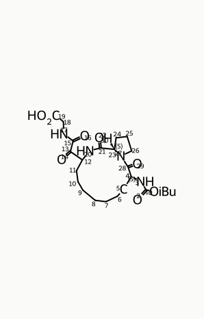 CC(C)COC(=O)N[C@H]1CCCCCCCC(C(=O)C(=O)NCC(=O)O)NC(=O)[C@@H]2CCCN2C1=O